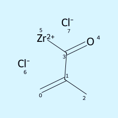 C=C(C)[C](=O)[Zr+2].[Cl-].[Cl-]